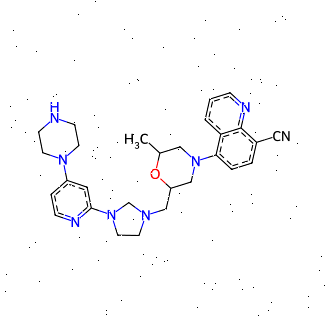 CC1CN(c2ccc(C#N)c3ncccc23)CC(CN2CCN(c3cc(N4CCNCC4)ccn3)C2)O1